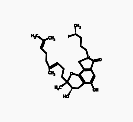 CC(C)=CCC/C(C)=C/CC[C@]1(C)Oc2c(c(O)cc3c2CN(CCC[C@@H](C)I)C3=O)C[C@@H]1O